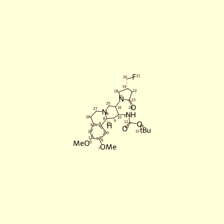 COc1cc2c(cc1OC)[C@@H]1CC(NC(=O)OC(C)(C)C)C(N3C[C@H](CF)CC3=O)CN1CC2